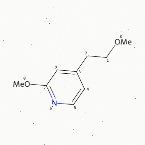 COCCc1ccnc(OC)c1